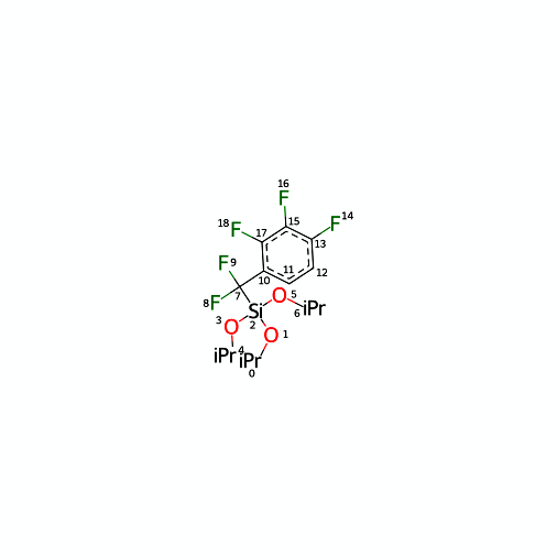 CC(C)O[Si](OC(C)C)(OC(C)C)C(F)(F)c1ccc(F)c(F)c1F